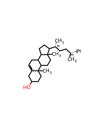 CC(C)[C@H](C)CC[C@@H](C)C1CCC2C3CC=C4CC(O)CCC4(C)C3CCC21C